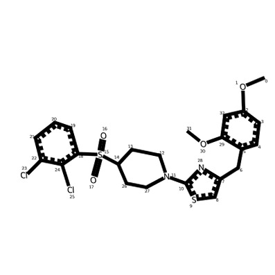 COc1ccc(Cc2csc(N3CCC(S(=O)(=O)c4cccc(Cl)c4Cl)CC3)n2)c(OC)c1